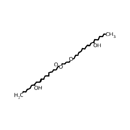 CCCCCCC(O)C/C=C/CCCCCCCOCCCCOC(=O)CCCCCCC/C=C/CC(O)CCCCCC